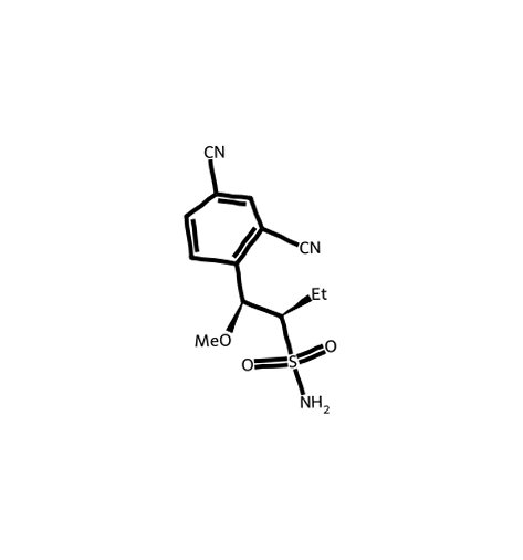 CC[C@H]([C@@H](OC)c1ccc(C#N)cc1C#N)S(N)(=O)=O